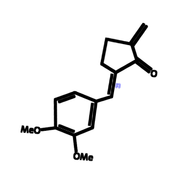 C=C1CC/C(=C\c2ccc(OC)c(OC)c2)C1=O